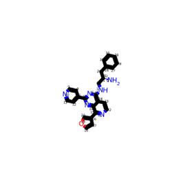 N[C@H](CNc1nc(-c2ccncc2)nc2c(-c3ccoc3)nccc12)Cc1ccccc1